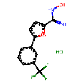 Cl.N=C(NO)c1ccc(-c2cccc(C(F)(F)F)c2)o1